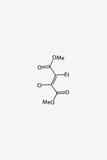 CC/C(C(=O)OC)=C(/Cl)C(=O)OC